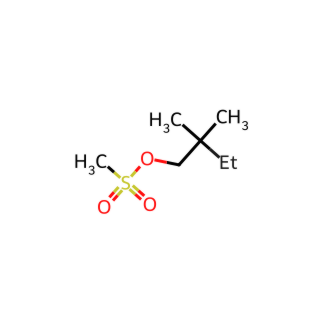 CCC(C)(C)COS(C)(=O)=O